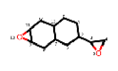 C1CC(C2CO2)CC2CC3OC3CC12